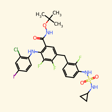 CC(C)(C)ONC(=O)c1cc(Cc2cccc(NS(=O)(=O)NC3CC3)c2F)c(F)c(F)c1Nc1ccc(I)cc1Cl